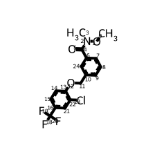 CON(C)C(=O)c1cccc(COc2ccc(C(F)(F)F)cc2Cl)c1